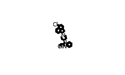 O=CC1Nc2ccccc2N1C1CCN(C2Cc3ccc(Cl)c4cccc2c34)CC1